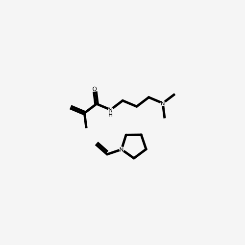 C=C(C)C(=O)NCCCN(C)C.C=CN1CCCC1